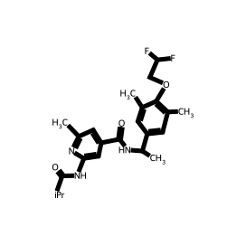 Cc1cc(C(=O)NC(C)c2cc(C)c(OCC(F)F)c(C)c2)cc(NC(=O)C(C)C)n1